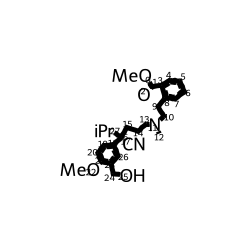 COC(=O)c1ccccc1CCN(C)CCCC(C#N)(c1ccc(OC)c(CO)c1)C(C)C